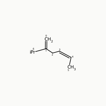 C=C(C/C=C\C)C(C)C